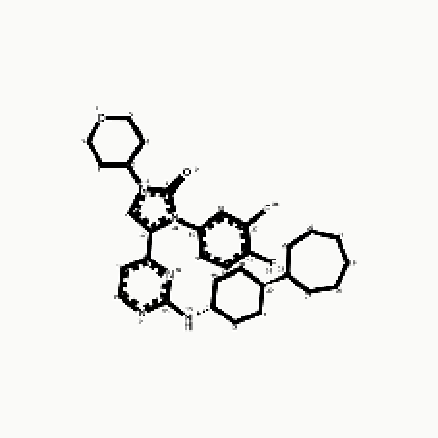 O=c1n(C2CCOCC2)cc(-c2ccnc(N[C@H]3CC[C@H](C4CCCCCC4)CC3)n2)n1-c1ccc(F)c(F)c1